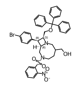 O=[N+]([O-])c1ccccc1S(=O)(=O)N1CCC(CO)CN2[C@H](COC(c3ccccc3)(c3ccccc3)c3ccccc3)[C@H](c3ccc(Br)cc3)[C@@H]2C1